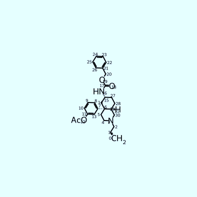 C=CCN1CC[C@@]2(c3cccc(OC(C)=O)c3)C[C@H](NC(=O)OCc3ccccc3)CC[C@@H]2C1